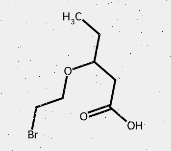 CCC(CC(=O)O)OCCBr